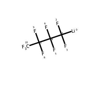 [Li][C](F)(F)C(F)(F)C(F)(F)C(F)(F)F